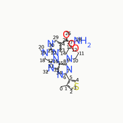 Cc1cscc1-c1nc(N2CCOCC2)c2nc(CN(C)c3ncc(C(=O)ON)cn3)n(C)c2n1